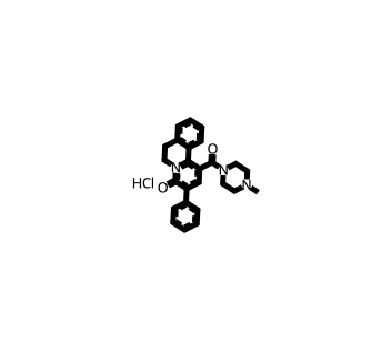 CN1CCN(C(=O)c2cc(-c3ccccc3)c(=O)n3c2-c2ccccc2CC3)CC1.Cl